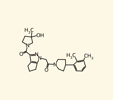 Cc1cccc(C2CCN(C(=O)Cn3nc(C(=O)N4CCC(C)(O)C4)c4c3CCC4)CC2)c1C